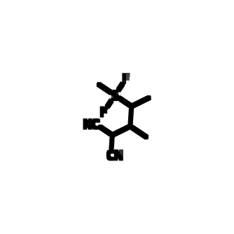 CC(C(C#N)C#N)C(C)S(C)(F)F